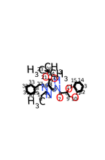 CCc1nc(NC(=O)C2COc3ccccc3O2)c(C(=O)OC(C)(C)C)n1Cc1ccccc1